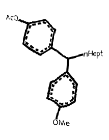 CCCCCCCC(c1ccc(OC)cc1)c1ccc(OC(C)=O)cc1